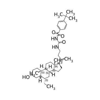 CC[C@H]1C[C@@H]2[C@H](CC[C@]3(C)[C@@H]([C@H](C)CCNC(=O)NS(=O)(=O)c4ccc(C(C)(C)C)cc4)CC[C@@H]23)[C@@]2(C)CC[C@@H](O)C[C@@H]12